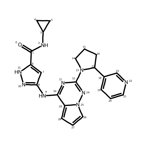 O=C(NC1CC1)c1cc(Nc2nc(N3CCCC3c3cccnc3)nn3cccc23)n[nH]1